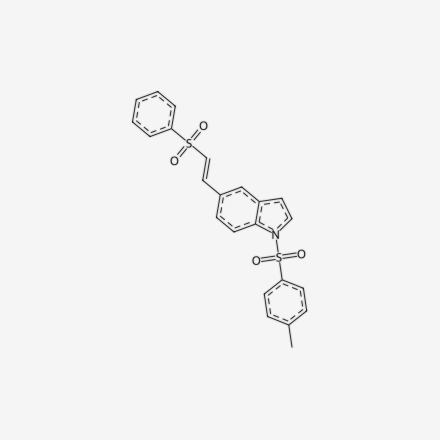 Cc1ccc(S(=O)(=O)n2ccc3cc(C=CS(=O)(=O)c4ccccc4)ccc32)cc1